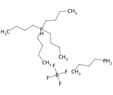 CCCCP.CCCC[PH](CCCC)(CCCC)CCCC.F[B-](F)(F)F